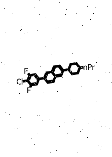 CCCC1CCC(c2ccc3cc(-c4cc(F)c(Cl)c(F)c4)ccc3c2)CC1